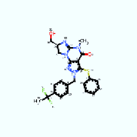 CN1C(=O)c2c(nn(Cc3ccc(C(C)(F)F)cc3)c2Sc2ccccc2)N2C[C@@H](CO)N=C12